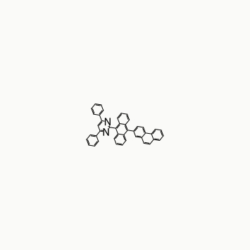 c1ccc(-c2cc(-c3ccccc3)nc(-c3c4ccccc4c(-c4ccc5c(ccc6ccccc65)c4)c4ccccc34)n2)cc1